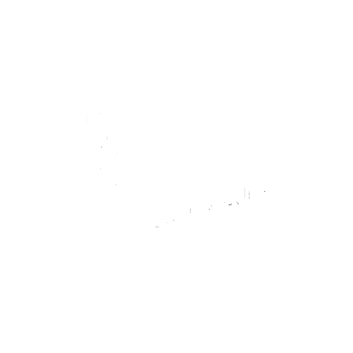 [Ga+3].[Ga+3].[Ir+4].[Ir+4].[O-2].[O-2].[O-2].[O-2].[O-2].[O-2].[O-2].[O-2].[O-2].[Zn+2].[Zn+2]